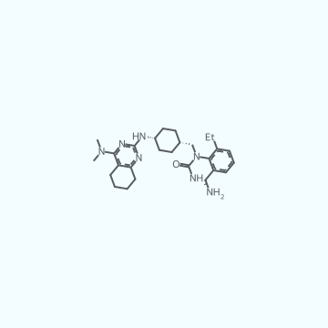 CCc1cccc(CN)c1N(C[C@H]1CC[C@@H](Nc2nc3c(c(N(C)C)n2)CCCC3)CC1)C(N)=O